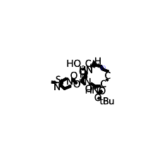 Cc1nc2c(s1)CN(C(=O)O[C@@H]1C[C@H]3C(=O)N[C@]4(C(=O)O)C[C@H]4/C=C/CCCCC[C@H](NC(=O)OC(C)(C)C)C(=O)N3C1)CC2